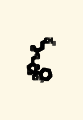 CC=CC(=O)OCC1COC(C)(C2CCCCC2)O1